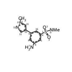 CNS(=O)(=O)c1cc(N)cc(-c2cnn(C)c2)c1